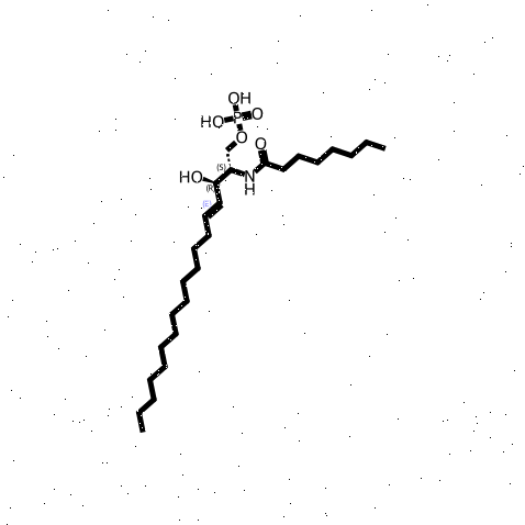 CCCCCCCCCCCCC/C=C/[C@@H](O)[C@H](COP(=O)(O)O)NC(=O)CCCCCCC